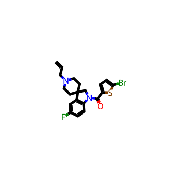 C=CCN1CCC2(CC1)CN(C(=O)c1ccc(Br)s1)c1ccc(F)cc12